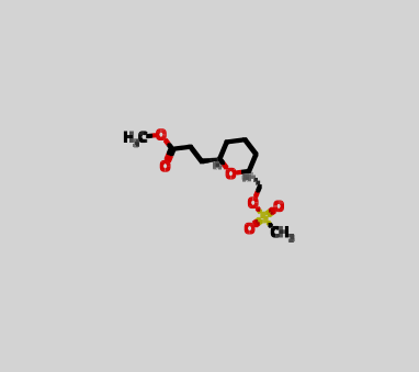 COC(=O)CC[C@H]1CCC[C@H](COS(C)(=O)=O)O1